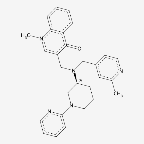 Cc1cc(CN(Cc2cn(C)c3ccccc3c2=O)[C@H]2CCCN(c3ccccn3)C2)ccn1